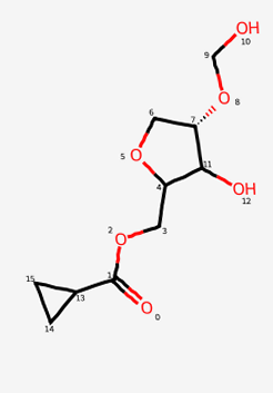 O=C(OCC1OC[C@H](OCO)C1O)C1CC1